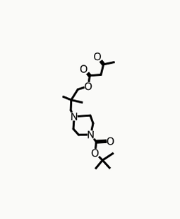 CC(=O)CC(=O)OCC(C)(C)CN1CCN(C(=O)OC(C)(C)C)CC1